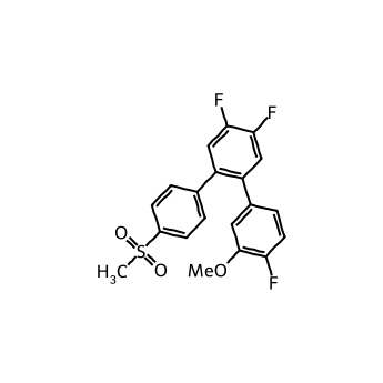 COc1cc(-c2cc(F)c(F)cc2-c2ccc(S(C)(=O)=O)cc2)ccc1F